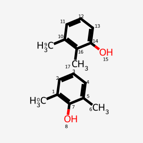 Cc1cccc(C)c1O.Cc1cccc(O)c1C